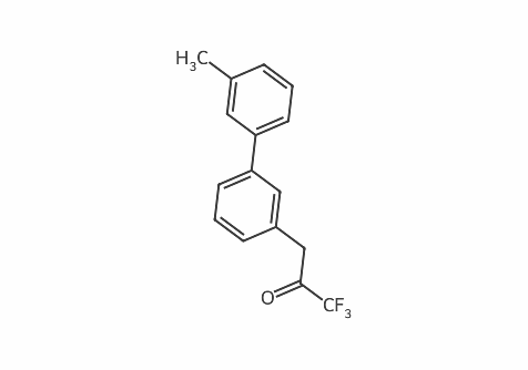 Cc1cccc(-c2cccc(CC(=O)C(F)(F)F)c2)c1